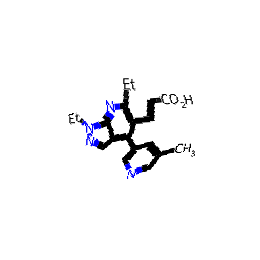 CCc1nc2c(cnn2CC)c(-c2cncc(C)c2)c1C=CC(=O)O